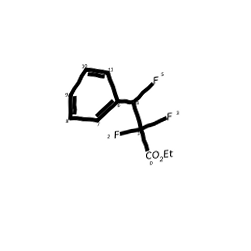 CCOC(=O)C(F)(F)C(F)c1ccccc1